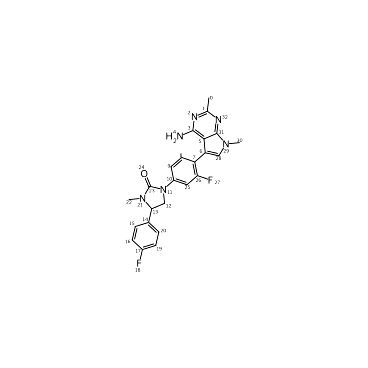 Cc1nc(N)c2c(-c3ccc(N4CC(c5ccc(F)cc5)N(C)C4=O)cc3F)cn(C)c2n1